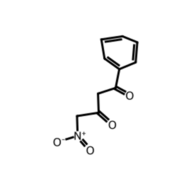 O=C(CC(=O)c1ccccc1)C[N+](=O)[O-]